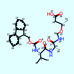 CC(C)[C@H](NC(=O)OCC1c2ccccc2-c2ccccc21)C(=O)N[C@@H](C)C(=O)NCO[C@@H](C)CC(=O)O